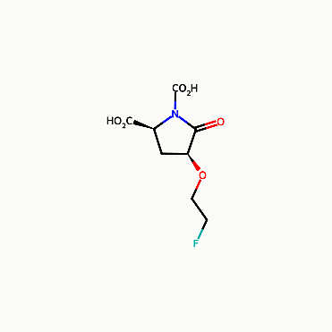 O=C(O)[C@@H]1C[C@H](OCCF)C(=O)N1C(=O)O